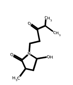 CC(C)C(=O)CCN1C(=O)C(C)CC1O